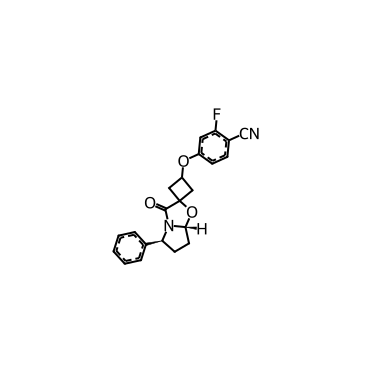 N#Cc1ccc(OC2CC3(C2)O[C@@H]2CC[C@@H](c4ccccc4)N2C3=O)cc1F